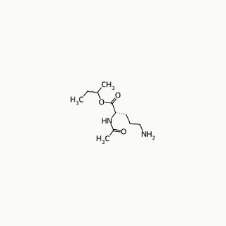 CCC(C)OC(=O)[C@H](CCCN)NC(C)=O